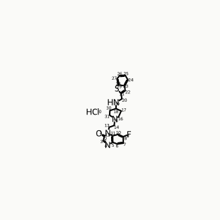 Cl.O=c1cnc2ccc(F)cc2n1CCN1CCC(NCc2cc3ccccc3s2)CC1